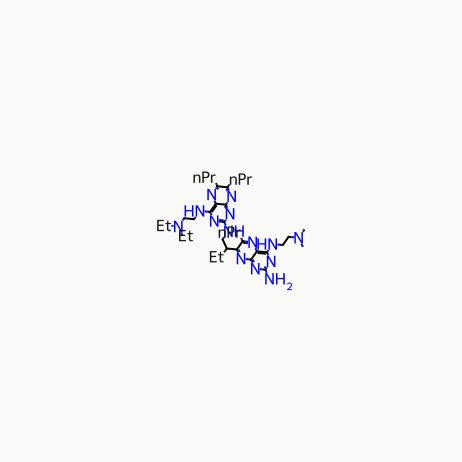 CCCc1nc2nc(NCC(CC)c3nc4nc(N)nc(NCCN(C)C)c4nc3CCC)nc(NCCN(CC)CC)c2nc1CCC